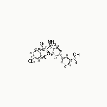 CC(O)c1cccc(-c2ccc3c(c2)OC(C(=O)c2ccc(Cl)cc2Cl)C3N)c1